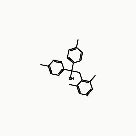 Cc1ccc(C(O)(Cc2c(C)c[c]cc2C)c2ccc(C)cc2)cc1